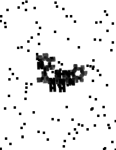 S=C(Nc1nc2ccccc2[nH]1)NC1CC1c1ccccn1